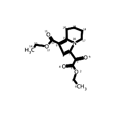 CCOC(=O)C(=O)c1cc(C(=O)OCC)c2n1CCCC2